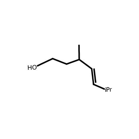 CC(C)C=CC(C)CCO